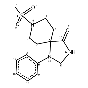 CS(=O)(=O)N1CCC2(CC1)C(=O)NCN2c1ccccc1